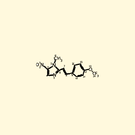 Cn1c([N+](=O)[O-])cnc1/C=C/c1ccc(OC(F)(F)F)cc1